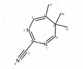 CC1=CN=C(C#N)N=CC1(C)C